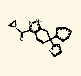 O=C(c1n[nH]c2c1C=CC(c1ccccc1)(c1cccs1)C2)N1CC1